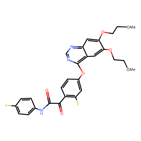 COCCOc1cc2ncnc(Oc3ccc(C(=O)C(=O)Nc4ccc(F)cc4)c(F)c3)c2cc1OCCOC